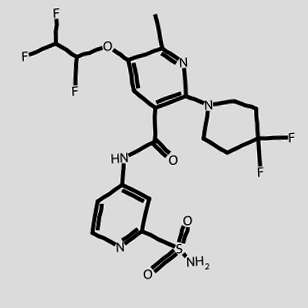 Cc1nc(N2CCC(F)(F)CC2)c(C(=O)Nc2ccnc(S(N)(=O)=O)c2)cc1OC(F)C(F)F